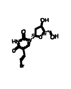 O=c1[nH]c(=O)n([C@@H]2CC(O)[C@H](CO)O2)cc1C=CBr